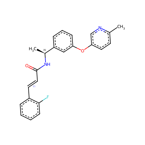 Cc1ccc(Oc2cccc([C@H](C)NC(=O)/C=C/c3ccccc3F)c2)cn1